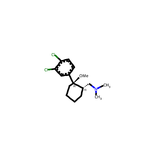 CO[C@]1(c2ccc(Cl)c(Cl)c2)CCCC[C@H]1CN(C)C